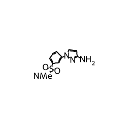 CNS(=O)(=O)c1cccc(-n2ccc(N)n2)c1